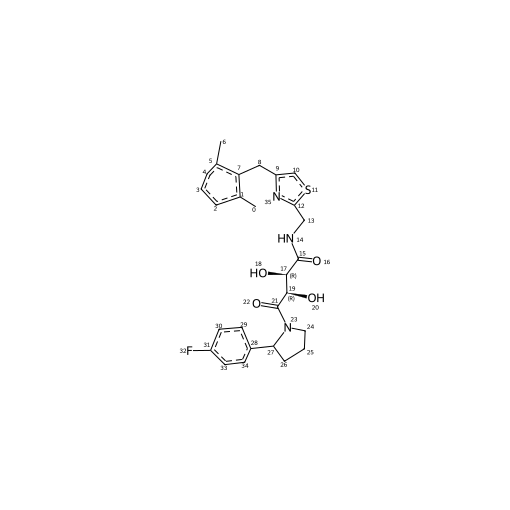 Cc1cccc(C)c1Cc1csc(CNC(=O)[C@H](O)[C@@H](O)C(=O)N2CCCC2c2ccc(F)cc2)n1